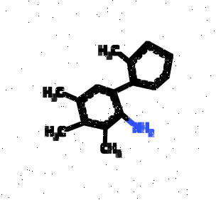 Cc1ccccc1-c1cc(C)c(C)c(C)c1N